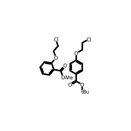 CC(C)(C)OC(=O)c1ccc(OCCCl)cc1.COC(=O)c1ccccc1OCCCl